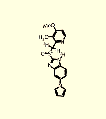 [2H]n1c([S+]([O-])C([2H])([2H])c2nccc(OC)c2C)nc2cc(-n3cccc3)ccc21